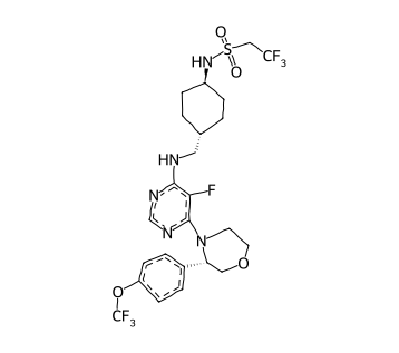 O=S(=O)(CC(F)(F)F)N[C@H]1CC[C@H](CNc2ncnc(N3CCOC[C@@H]3c3ccc(OC(F)(F)F)cc3)c2F)CC1